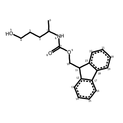 CC(CCCO)NC(=O)OCC1c2ccccc2-c2ccccc21